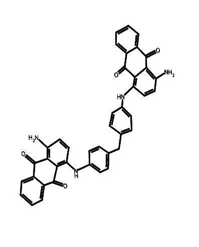 Nc1ccc(Nc2ccc(Cc3ccc(Nc4ccc(N)c5c4C(=O)c4ccccc4C5=O)cc3)cc2)c2c1C(=O)c1ccccc1C2=O